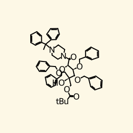 CC(C)(C)C(=O)OC[C@](O)(COCc1ccccc1)[C@@H](OCc1ccccc1)[C@H](OCc1ccccc1)[C@@H](OCc1ccccc1)C(=O)N1CCN(C(C)(c2ccccc2)c2ccccc2)CC1